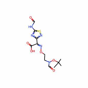 CC(C)(C)ON(C=O)CCON=C(C(=O)O)c1nsc(NC=O)n1